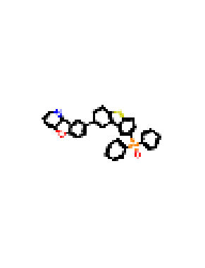 O=P(c1ccccc1)(c1ccccc1)c1ccc2sc3ccc(-c4ccc5oc6cccnc6c5c4)cc3c2c1